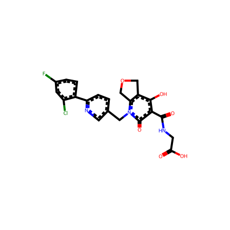 O=C(O)CNC(=O)c1c(O)c2c(n(Cc3ccc(-c4ccc(F)cc4Cl)nc3)c1=O)COC2